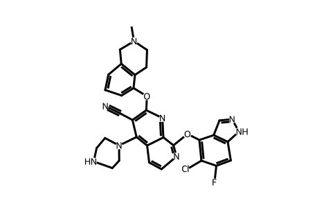 CN1CCc2c(cccc2Oc2nc3c(Oc4c(Cl)c(F)cc5[nH]ncc45)nccc3c(N3CCNCC3)c2C#N)C1